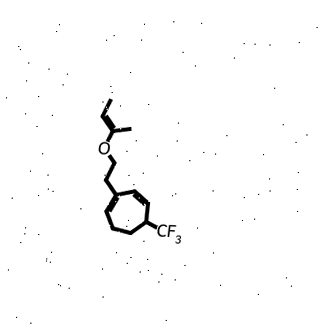 C/C=C(\C)OCCC1=CCCC(C(F)(F)F)C=C1